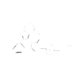 COCC12CCC(n3ccn(-c4c(-c5ccc(F)cc5)nn5c4[C@H](C)NCC5)c3=O)(CC1)CC2